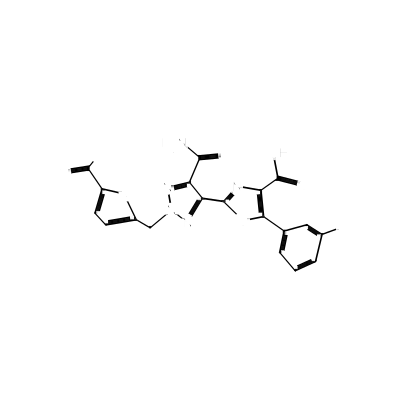 CC(=O)c1ccc(Cn2nc(C(N)=O)c(-c3nc(C(=O)O)c(-c4cccc(Cl)c4)o3)n2)s1